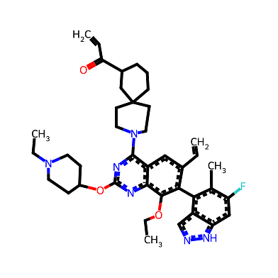 C=CC(=O)C1CCCC2(CCN(c3nc(OC4CCN(CC)CC4)nc4c(OCC)c(-c5c(C)c(F)cc6[nH]ncc56)c(C=C)cc34)CC2)C1